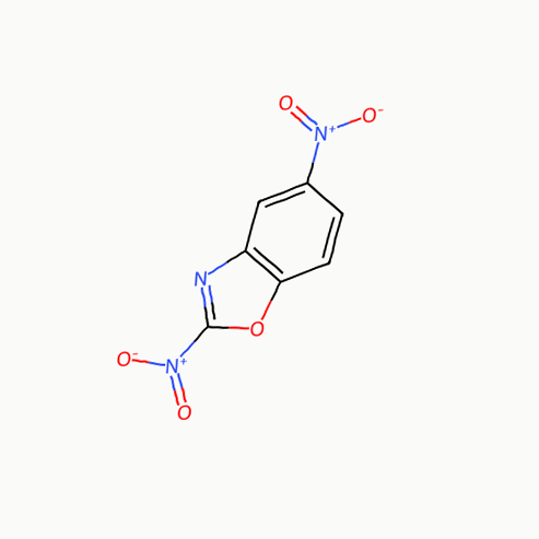 O=[N+]([O-])c1ccc2oc([N+](=O)[O-])nc2c1